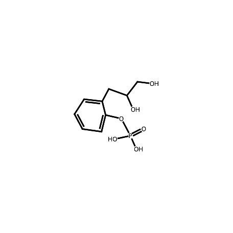 O=P(O)(O)Oc1ccccc1CC(O)CO